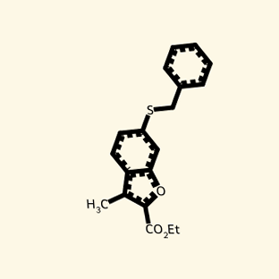 CCOC(=O)c1oc2cc(SCc3ccccc3)ccc2c1C